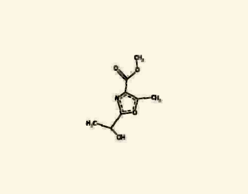 COC(=O)c1nc(C(C)O)oc1C